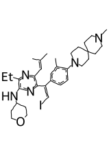 CCc1nc(C=C(C)C)c(/C(=C\I)c2ccc(N3CCC4(CCN(C)CC4)CC3)c(C)c2)nc1NC1CCOCC1